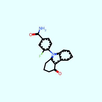 NC(=O)c1ccc(-n2c3c(c4ccccc42)C(=O)CCC3)c(F)c1